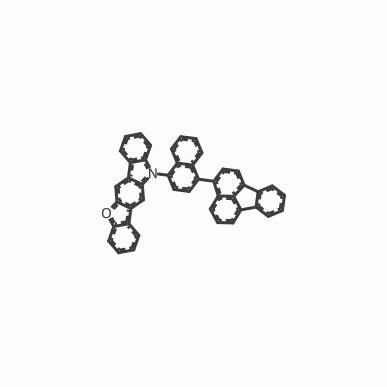 c1ccc2c(c1)-c1cccc3c(-c4ccc(-n5c6ccccc6c6cc7oc8ccccc8c7cc65)c5ccccc45)ccc-2c13